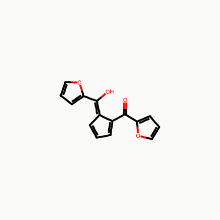 O=C(C1=CC=C/C1=C(/O)c1ccco1)c1ccco1